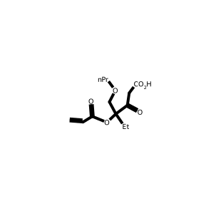 C=CC(=O)OC(CC)(COCCC)C(=O)CC(=O)O